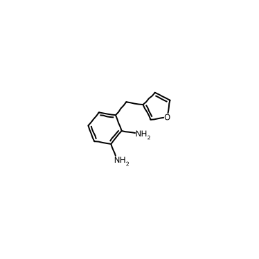 Nc1cccc(Cc2ccoc2)c1N